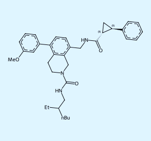 CCCCC(CC)CNC(=O)N1CCc2c(-c3cccc(OC)c3)ccc(CNC(=O)[C@@H]3C[C@H]3c3ccccc3)c2C1